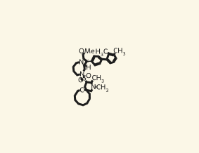 COCC1[C@@H](c2ccc(-c3cccc(C)c3C)cc2)[C@@H]2CN(S(=O)(=O)C3CC4(CCCCCCCCC4)CN(C)C3C)CCCCN12